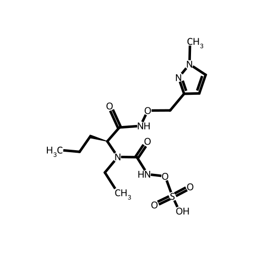 CCC[C@@H](C(=O)NOCc1ccn(C)n1)N(CC)C(=O)NOS(=O)(=O)O